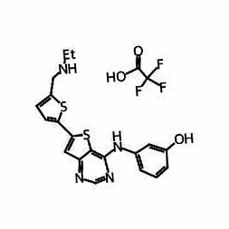 CCNCc1ccc(-c2cc3ncnc(Nc4cccc(O)c4)c3s2)s1.O=C(O)C(F)(F)F